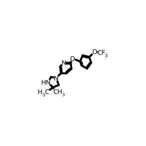 CC1(C)CN(c2ccc(Oc3cccc(OC(F)(F)F)c3)nc2)CN1